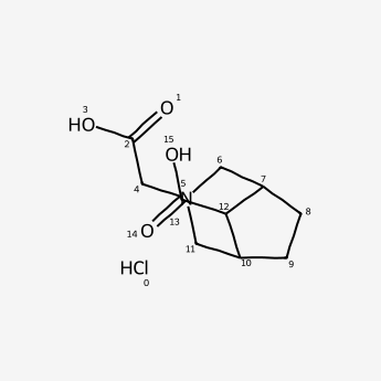 Cl.O=C(O)CN1CC2CCC(C1)C2C(=O)O